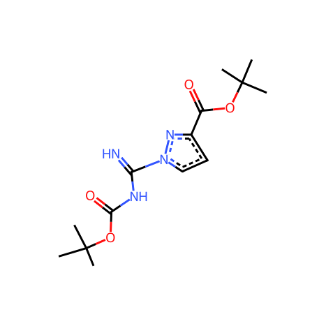 CC(C)(C)OC(=O)NC(=N)n1ccc(C(=O)OC(C)(C)C)n1